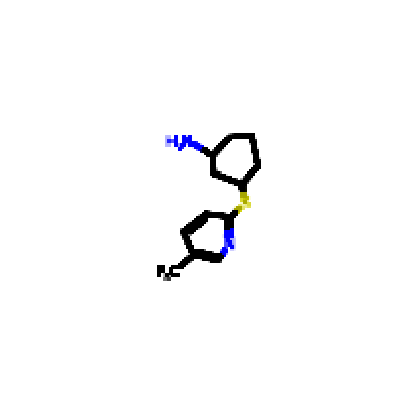 NC1CCCC(Sc2ccc(C(F)(F)F)cn2)C1